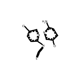 Nc1ccc(Cl)cn1.S=C=Nc1ccc(Cl)cn1